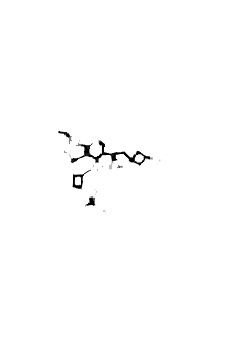 CCn1ncc2c(NC3CCC3)c(C3=NOC4(C3)CC(O)C4)cnc21.O=C(O)O